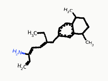 C=C/C(N)=C\C=C(/CC)Cc1ccc2c(c1)C(C)CCC2C